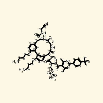 Cc1nc(-c2ccc(C(C)(C)C)cc2)nc(C)c1C(=O)N[C@@H](CNS(N)(=O)=O)C(=O)N(C)[C@@H]1C(=O)N[C@@H](C)C(=O)N[C@H](C(=O)NCC#N)Cc2ccc(OCCCN)c(c2)-c2cc1ccc2OCCCN